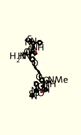 CN[C@@H](C)C(=O)N[C@H](C(=O)N1CCC[C@H]1C(=O)Nc1sc(-c2nccs2)nc1-c1ccccc1)c1ccc(OCC#CC#CCOc2ccc([C@H](NC(=O)[C@H](C)N)C(=O)N3CCC[C@H]3C(=O)Nc3sc(-c4nccs4)nc3-c3ccccc3)cc2)cc1